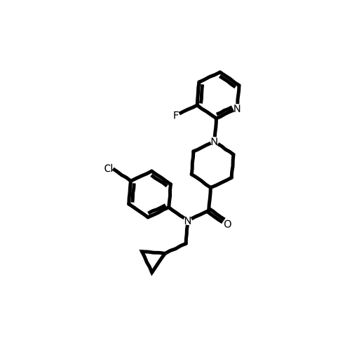 O=C(C1CCN(c2ncccc2F)CC1)N(CC1CC1)c1ccc(Cl)cc1